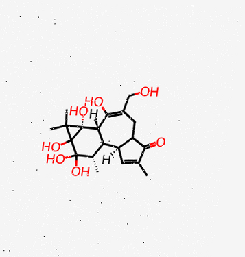 CC1=C[C@@H]2C(CC(CO)=C(O)[C@@H]3C2[C@H](C)C(O)(O)C2(O)C(C)(C)[C@@]32O)C1=O